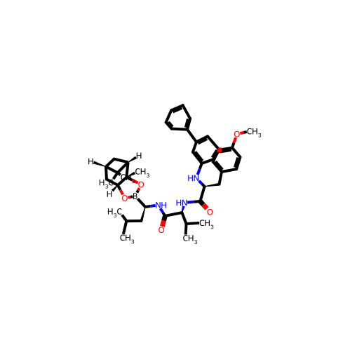 COc1ccc(C[C@H](Nc2cccc(-c3ccccc3)c2)C(=O)N[C@H](C(=O)N[C@@H](CC(C)C)B2O[C@@H]3C[C@@H]4C[C@@H](C4(C)C)[C@]3(C)O2)C(C)C)cc1